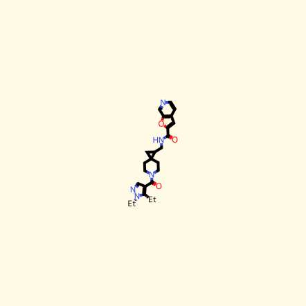 CCc1c(C(=O)N2CCC3(CC2)CC3CNC(=O)c2cc3ccncc3o2)cnn1CC